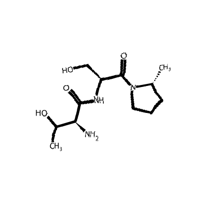 CC(O)[C@H](N)C(=O)N[C@@H](CO)C(=O)N1CCC[C@H]1C